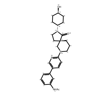 CC(=O)Nc1cccc(-c2ccc(N3CCC[C@]4(CCN([C@H]5CC[C@H](O)CC5)C4=O)C3)nc2)c1